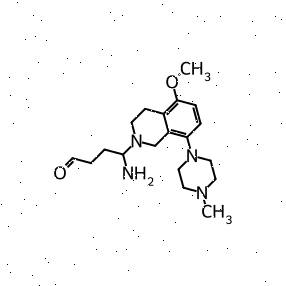 COc1ccc(N2CCN(C)CC2)c2c1CCN(C(N)CCC=O)C2